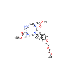 CCOCCOCCOc1ccc(C[C@H](C(=O)OCC)N2CCN(CC(=O)OC(C)(C)C)CCNCCN(CC(=O)OC(C)(C)C)CC2)cc1